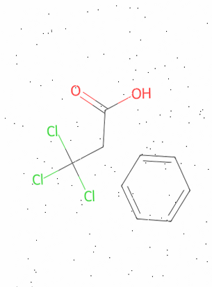 O=C(O)CC(Cl)(Cl)Cl.c1ccccc1